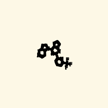 FC(F)(F)c1cccc(-c2nc(-n3ccc4cnccc43)c3cccn3n2)n1